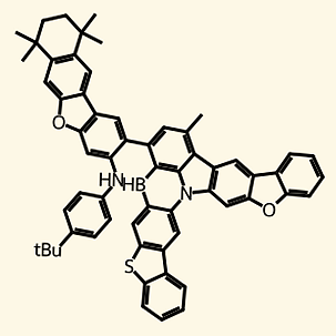 Cc1cc(-c2cc3c(cc2Nc2ccc(C(C)(C)C)cc2)oc2cc4c(cc23)C(C)(C)CCC4(C)C)c2c3c1c1cc4c(cc1n3-c1cc3c(cc1B2)sc1ccccc13)oc1ccccc14